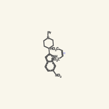 CC(C)N1CCC(c2cc3ccc([N+](=O)[O-])cc3[nH]2)CC1.O=C(O)/C=C\C(=O)O